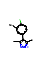 Cc1n[nH]c(C)c1-c1ccc(Cl)c(C#N)c1